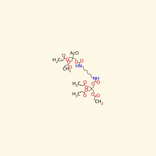 C=CC(=O)OCC(COC(C)=O)(COC(=O)C=C)COC(=O)NCCCCCCNC(=O)OCC(COC(=O)C=C)(COC(=O)C=C)COC(=O)C=C